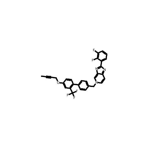 CC#CCOc1ccc(-c2ccc(Cn3ccc4nc(-c5cccc(F)c5F)nc-4c3)cc2)c(C(F)(F)F)c1